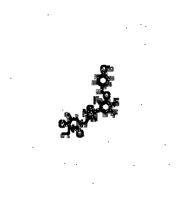 CCn1c(=O)c(C)cn(Cc2noc(-c3cc(F)c(F)c(OCc4ccc(OC)cc4)c3F)n2)c1=O